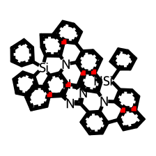 c1ccc(-c2nc(-c3cccc(-c4ccccc4)c3N3c4ccccc4[SiH](c4ccccc4)c4ccccc43)nc(-c3cccc(-c4ccccc4)c3N3c4ccccc4[Si](c4ccccc4)(c4ccccc4)c4ccccc43)n2)cc1